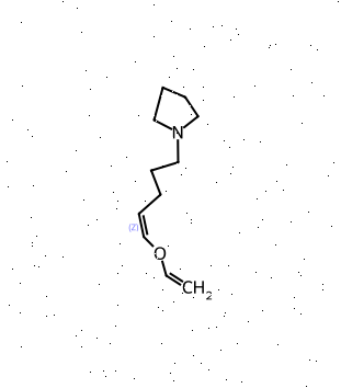 C=CO/C=C\CCCN1CCCC1